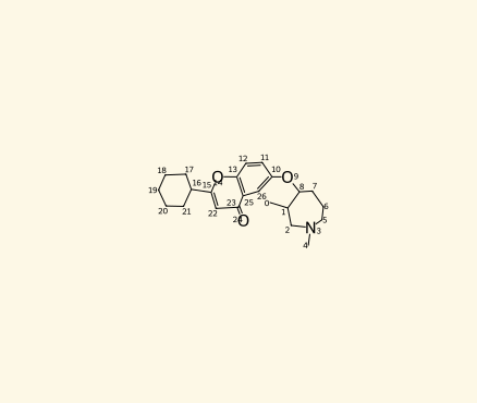 CC1CN(C)CCCC1Oc1ccc2oc(C3CCCCC3)cc(=O)c2c1